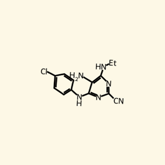 CCNc1nc(C#N)nc(Nc2ccc(Cl)cc2)c1N